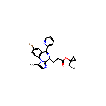 CC(=O)OCC1(OC(=O)CC[C@@H]2N=C(c3ccccn3)c3cc(Br)ccc3-n3c(C)cnc32)CC1